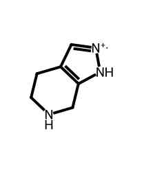 C1=[N+]NC2=C1CCNC2